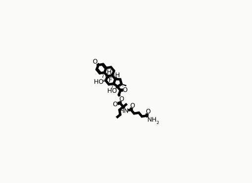 CCCC(C)(NC(=O)CCCC(N)=O)C(=O)OCC(=O)[C@@]1(O)[C@H](C)C[C@H]2[C@@H]3CCC4=CC(=O)C=C[C@]4(C)[C@@]3(F)[C@@H](O)C[C@@]21C